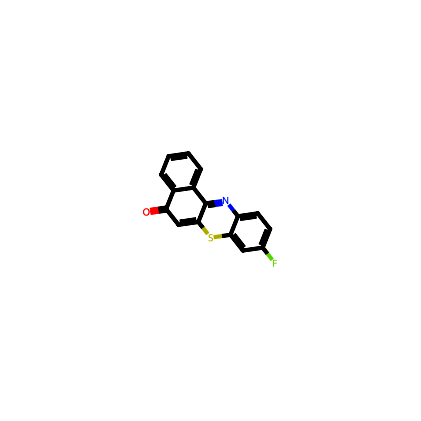 O=c1cc2sc3cc(F)ccc3nc-2c2ccccc12